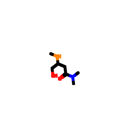 CPC(CO)CC(=O)N(C)C